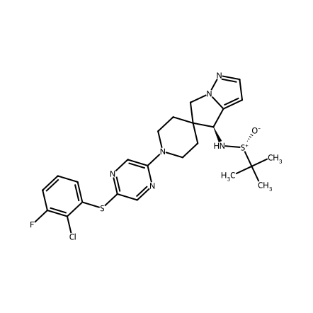 CC(C)(C)[S@@+]([O-])N[C@@H]1c2ccnn2CC12CCN(c1cnc(Sc3cccc(F)c3Cl)cn1)CC2